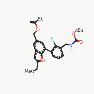 C=C(CC)OCc1cc(-c2cccc(CNC(=O)OC(C)(C)C)c2F)c2oc(COC)cc2c1